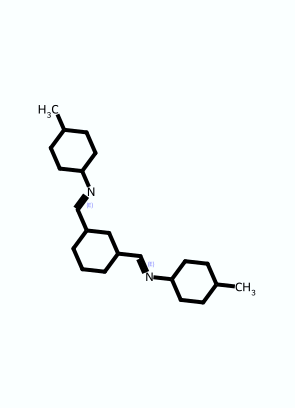 CC1CCC(/N=C/C2CCCC(/C=N/C3CCC(C)CC3)C2)CC1